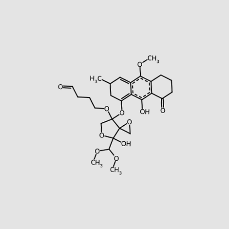 COc1c2c(c(O)c3c1=CC(C)CC=3OC1(OCCCC=O)COC(O)(C(OC)OC)C13CO3)C(=O)CCC2